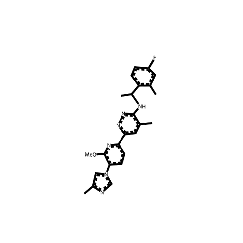 COc1nc(-c2cc(C)c(NC(C)c3ccc(F)cc3C)nn2)ccc1-n1cnc(C)c1